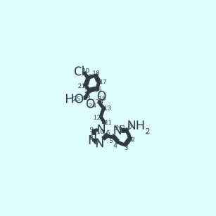 Nc1cccc(-c2nncn2CCCCOc2ccc(Cl)cc2C(=O)O)n1